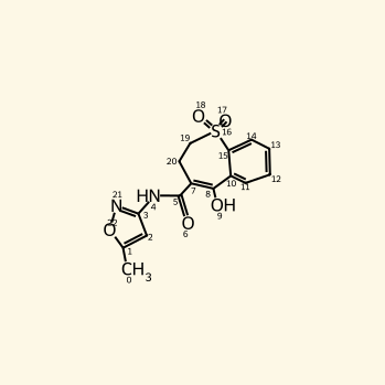 Cc1cc(NC(=O)C2=C(O)c3ccccc3S(=O)(=O)CC2)no1